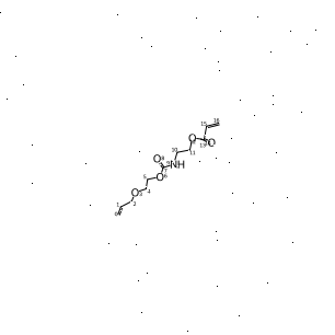 C=CCOCCOC(=O)NCCOC(=O)C=C